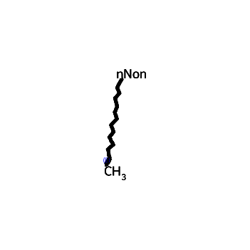 C/C=C/CCCCCCCCCCCCCCCCCCCCC